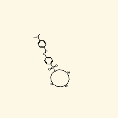 CN(C)c1ccc(/N=N/c2ccc(S(=O)(=O)N3CCCNCCNCCCNCC3)cc2)cc1